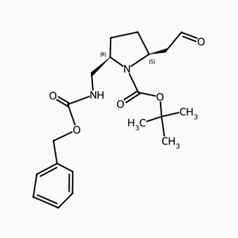 CC(C)(C)OC(=O)N1[C@H](CC=O)CC[C@@H]1CNC(=O)OCc1ccccc1